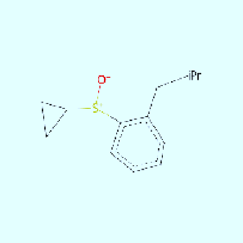 CC(C)Cc1ccccc1[S+]([O-])C1CC1